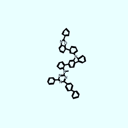 CN(c1nc(-c2ccccc2)nc(-c2ccc(-c3ccccc3)cc2)n1)c1ccccc1-c1ccc2c3ccccc3n(-c3cccc(-c4cccc5nc(-c6ccccc6)oc45)c3)c2c1